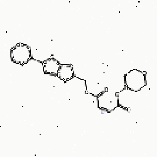 O=C(/C=C\C(=O)ON1CCOCC1)OCc1cn2cc(-c3ccccc3)sc2n1